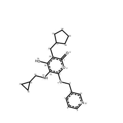 O=c1oc(OCc2cccnc2)c(NCC2CC2)c(O)c1CC1CCCC1